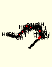 C=C/C=C/CC/C=C/C=C/C=C/CC/C=C/C(O)C(O)C1OC(C(O)C(O)C(=C)CCC(O)C2CC(O)C(O)C(C(O)C(O)/C=C(\C)CCC(O)CC(O)C(O)C(C)CC(O)C(O)CCCC(O)CCCC(O)CCC/C(O)=C\CCC(O)/C=C/CC(O)CO)O2)CC(O)C1O